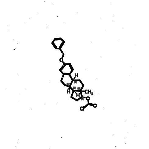 C[C@]12CC[C@@H]3c4ccc(OCc5ccccc5)cc4CC[C@H]3[C@@H]1CC[C@H]2OC(=O)Cl